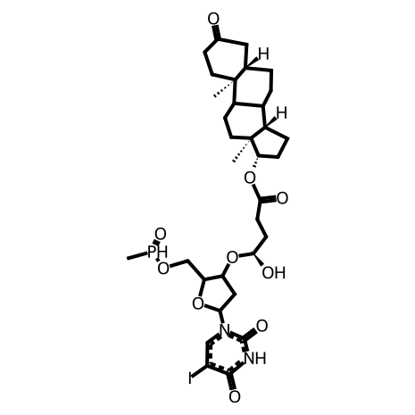 C[PH](=O)OCC1OC(n2cc(I)c(=O)[nH]c2=O)CC1O[C@H](O)CCC(=O)O[C@H]1CC[C@H]2C3CC[C@H]4CC(=O)CC[C@]4(C)C3CC[C@]12C